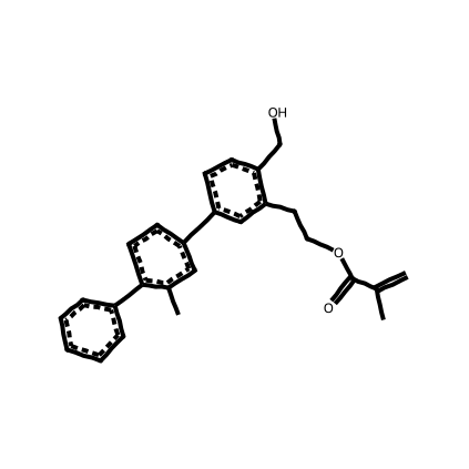 C=C(C)C(=O)OCCc1cc(-c2ccc(-c3ccccc3)c(C)c2)ccc1CO